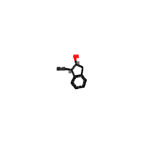 CO[C@@H]1c2ccccc2C[C@@H]1O